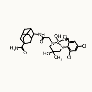 CC1(O)CN(CC(=O)NC2C3CC4CC2CC(C(N)=O)(C4)C3)S(O)(O)N(c2c(Cl)cc(Cl)cc2Cl)C1